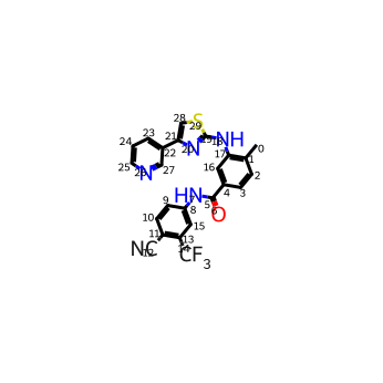 Cc1ccc(C(=O)Nc2ccc(C#N)c(C(F)(F)F)c2)cc1Nc1nc(-c2cccnc2)cs1